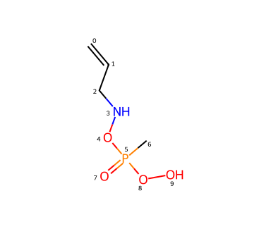 C=CCNOP(C)(=O)OO